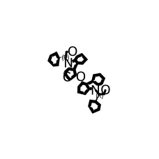 c1ccc([C@@H]2COc3cccc4c5c(Oc6cccc7c6c6cccc8c6n7[C@H](c6ccccc6)CO8)cccc5n2c34)cc1